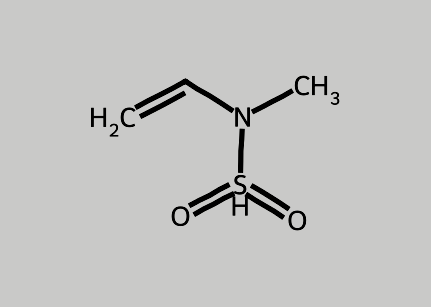 C=CN(C)[SH](=O)=O